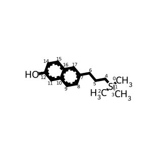 C[Si](C)(C)CCCc1ccc2cc(O)ccc2c1